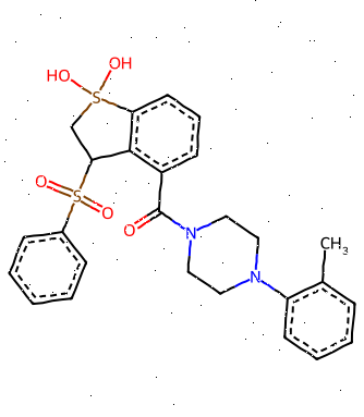 Cc1ccccc1N1CCN(C(=O)c2cccc3c2C(S(=O)(=O)c2ccccc2)CS3(O)O)CC1